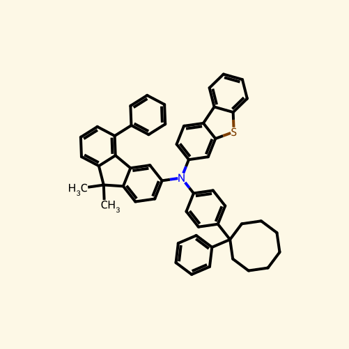 CC1(C)c2ccc(N(c3ccc(C4(c5ccccc5)CCCCCCC4)cc3)c3ccc4c(c3)sc3ccccc34)cc2-c2c(-c3ccccc3)cccc21